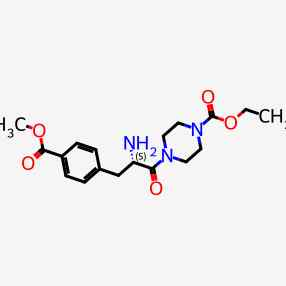 CCOC(=O)N1CCN(C(=O)[C@@H](N)Cc2ccc(C(=O)OC)cc2)CC1